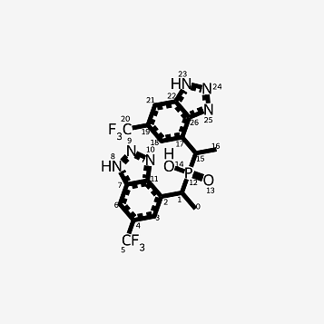 CC(c1cc(C(F)(F)F)cc2[nH]nnc12)P(=O)(O)C(C)c1cc(C(F)(F)F)cc2[nH]nnc12